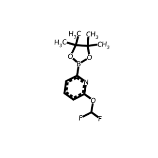 CC1(C)OB(c2cccc(OC(F)F)n2)OC1(C)C